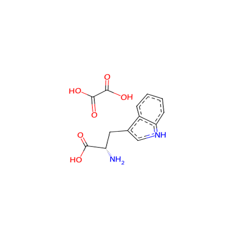 N[C@@H](Cc1c[nH]c2ccccc12)C(=O)O.O=C(O)C(=O)O